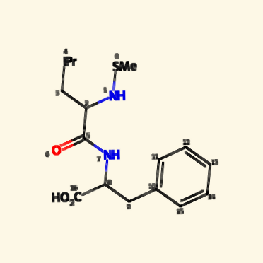 CSNC(CC(C)C)C(=O)NC(Cc1ccccc1)C(=O)O